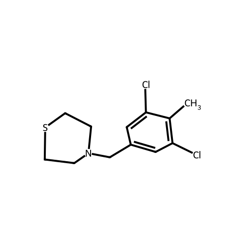 Cc1c(Cl)cc(CN2CCSCC2)cc1Cl